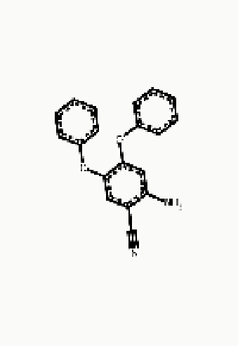 N#Cc1cc(Oc2ccccc2)c(Oc2ccccc2)cc1N